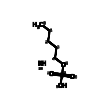 CCCCCOS(=O)(=O)O.[KH]